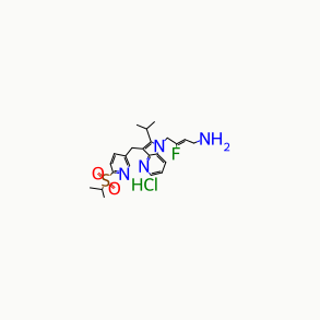 CC(C)c1c(Cc2ccc(S(=O)(=O)C(C)C)nc2)c2ncccc2n1C/C(F)=C/CN.Cl